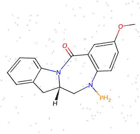 COc1ccc2c(c1)C(=O)N1c3ccccc3C[C@H]1CN2P